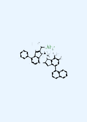 CC1=Cc2c(-c3cccc4ccccc34)cc(C)c(C)c2[CH]1[Zr]([CH3])([CH3])(=[SiH2])[CH]1C(C(C)C)=Cc2c(-c3ccccc3)cccc21.Cl.Cl